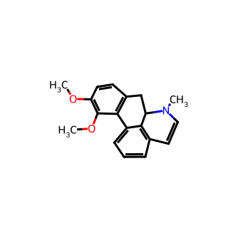 COc1ccc2c(c1OC)-c1cccc3c1C(C2)N(C)C=C3